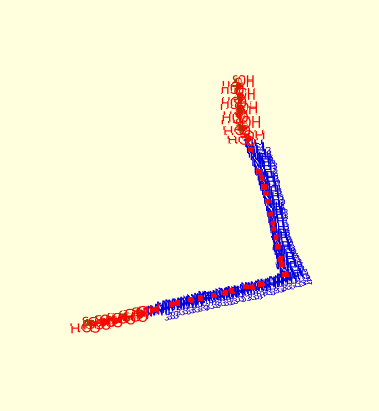 N.N.N.N.N.N.N.N.N.N.N.N.N.N.N.N.N.N.N.N.N.N.N.N.N.N.N.N.N.N.N.N.N.N.N.N.N.N.N.N.N.N.N.N.N.N.N.N.N.N.N.N.N.N.N.N.N.N.N.N.N.N.N.N.N.N.N.N.N.N.N.N.N.N.N.N.N.N.N.N.N.N.N.N.N.N.N.N.N.N.O=S(O)(O)=S.O=S(O)(O)=S.O=S(O)(O)=S.O=S(O)(O)=S.O=S(O)(O)=S.O=S(O)(O)=S.O=S(O)(O)=S.O=S(O)(O)=S.O=S(O)(O)=S.O=S(O)(O)=S